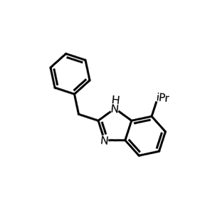 CC(C)c1cccc2nc(Cc3ccccc3)[nH]c12